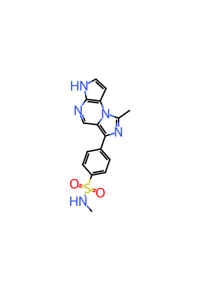 CNS(=O)(=O)c1ccc(-c2nc(C)n3c2cnc2[nH]ccc23)cc1